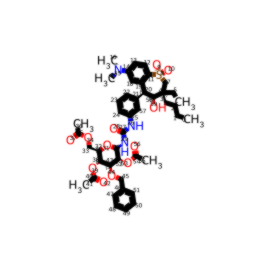 CCCC[C@]1(CC)CS(=O)(=O)c2ccc(N(C)C)cc2[C@H](c2cccc(NC(=O)N[C@@H]3O[C@H](COC(C)=O)[C@@H](OC(C)=O)[C@H](OCc4ccccc4)[C@H]3OC(C)=O)c2)[C@@H]1O